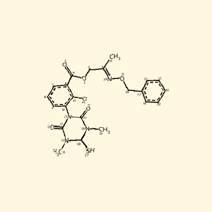 CC(COC(=O)c1cccc(N2C(=O)N(C)C(S)N(C)C2=O)c1Cl)=NOCc1ccccc1